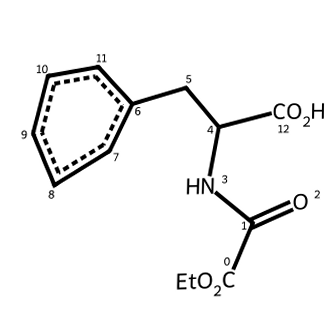 CCOC(=O)C(=O)NC(Cc1ccccc1)C(=O)O